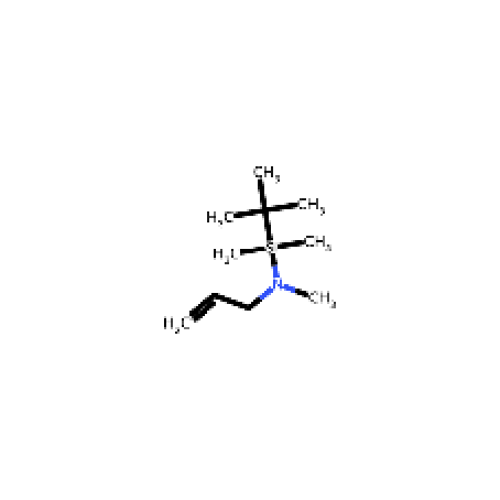 C=CCN(C)[Si](C)(C)C(C)(C)C